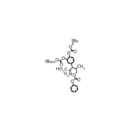 CC(COC(=O)Oc1ccccc1)C(c1ccc(OC(=O)OCC(C)(C)C)c(OC(=O)OCC(C)(C)C)c1)[C@H](N)C(=O)O